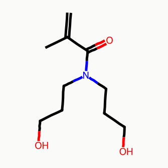 C=C(C)C(=O)N(CCCO)CCCO